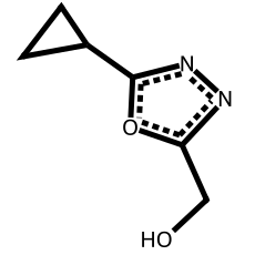 OCc1nnc(C2CC2)o1